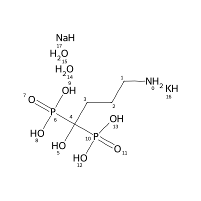 NCCCC(O)(P(=O)(O)O)P(=O)(O)O.O.O.[KH].[NaH]